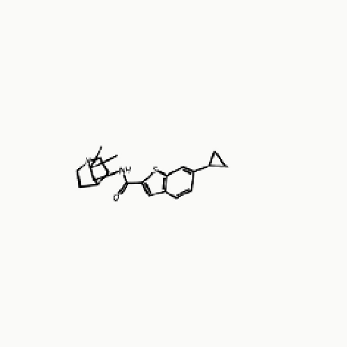 CC1(C)C(NC(=O)c2cc3ccc(C4CC4)cc3s2)C2CCN1CC2